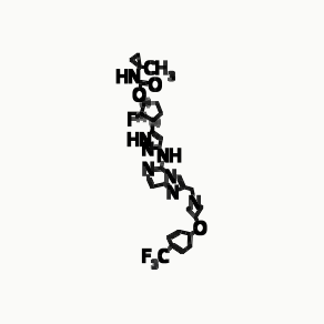 CC1(NC(=O)O[C@H]2CC[C@@H](c3cc(Nc4nccc5nc(CN6CC(Oc7ccc(C(F)(F)F)cc7)C6)cn45)n[nH]3)[C@H]2F)CC1